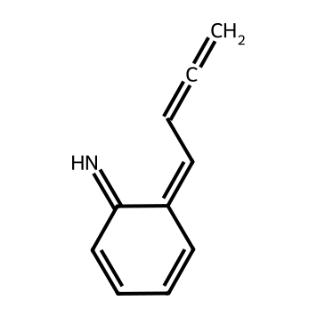 C=C=C/C=C1/C=CC=CC1=N